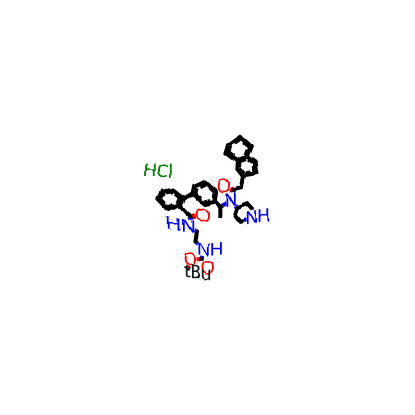 CC(c1cccc(-c2ccccc2C(=O)NCCNC(=O)OC(C)(C)C)c1)N(C(=O)Cc1ccc2ccccc2c1)C1CCNCC1.Cl